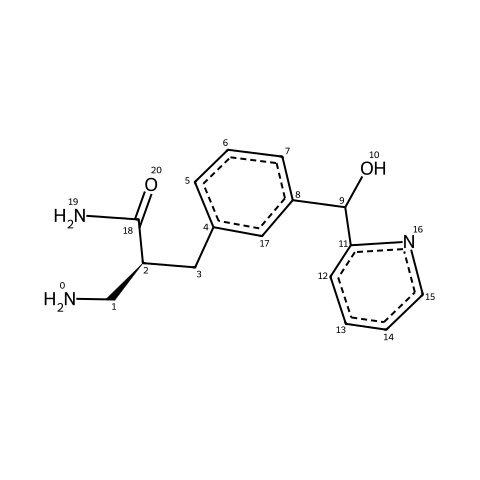 NC[C@H](Cc1cccc(C(O)c2ccccn2)c1)C(N)=O